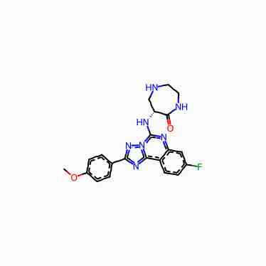 COc1ccc(-c2nc3c4ccc(F)cc4nc(N[C@@H]4CNCCNC4=O)n3n2)cc1